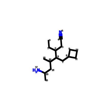 CCC(CC#N)C(CC1CCC1)C(C)CC(C)N